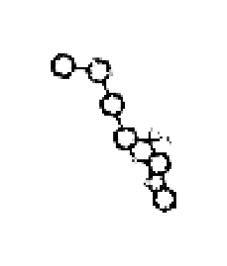 CC1(C)c2cc(-c3ccc(-c4ncnc(-c5ccccc5)n4)cc3)ccc2Oc2c1ccc1c2sc2ccccc21